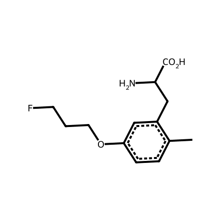 Cc1ccc(OCCCF)cc1CC(N)C(=O)O